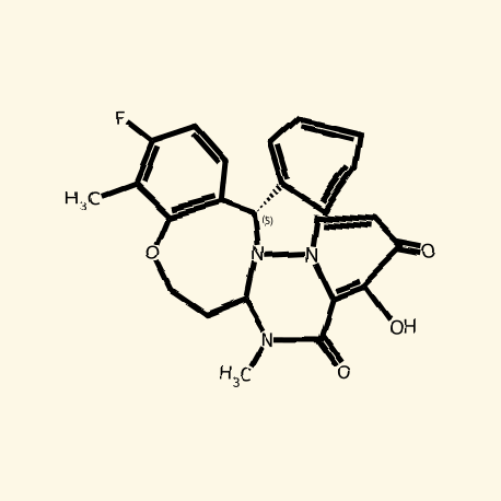 Cc1c(F)ccc2c1OCCC1N(C)C(=O)c3c(O)c(=O)ccn3N1[C@H]2c1ccccc1